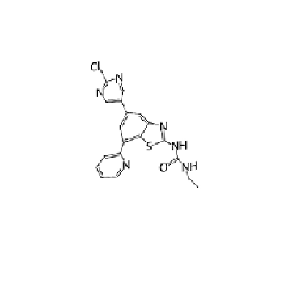 CCNC(=O)Nc1nc2cc(-c3cnc(Cl)nc3)cc(-c3ccccn3)c2s1